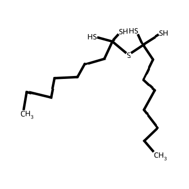 CCCCCCCC(S)(S)SC(S)(S)CCCCCCC